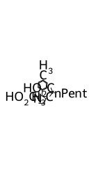 CCCCCC(C)C(=O)O.Cc1ccc(C2CCCN2C(=O)O)cc1